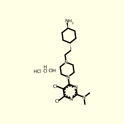 CN(C)c1nc(Cl)c(Cl)c(N2CCN(CC[C@H]3CC[C@H](N)CC3)CC2)n1.Cl.Cl.Cl